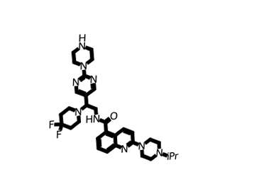 CC(C)N1CCN(c2ccc3c(C(=O)NCC(c4cnc(N5CCNCC5)nc4)N4CCC(F)(F)CC4)cccc3n2)CC1